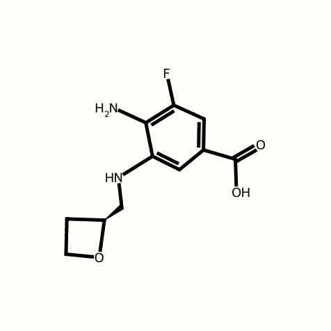 Nc1c(F)cc(C(=O)O)cc1NC[C@@H]1CCO1